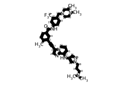 Cc1ccc(C(=O)Nc2ccc(CN3CCN(C)C(C)C3)c(C(F)(F)F)c2)cc1C#Cc1cnc2c(Nc3cnn(CCCN(C)C)c3)cccn12